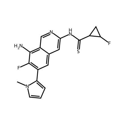 Cn1cccc1-c1cc2cc(NC(=S)C3CC3F)ncc2c(N)c1F